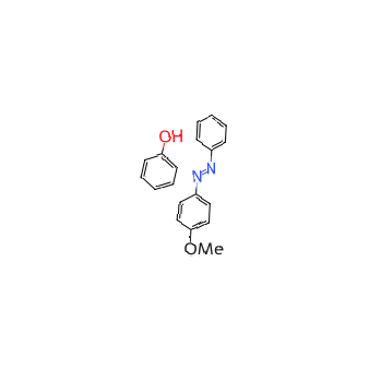 COc1ccc(N=Nc2ccccc2)cc1.Oc1ccccc1